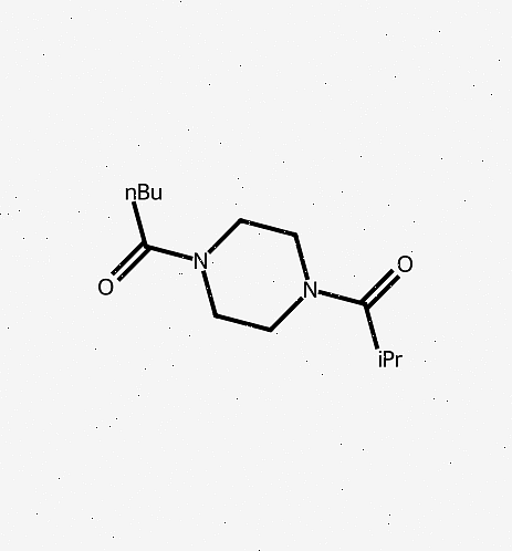 CCCCC(=O)N1CCN(C(=O)C(C)C)CC1